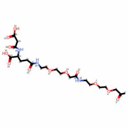 CC(=O)COCCOCCNC(=O)COCCOCCNC(=O)CCC(NC(=O)CC(=O)O)C(=O)O